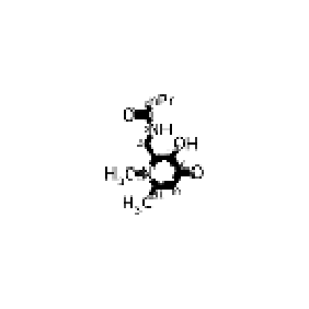 CCCC(=O)NCc1c(O)c(=O)cc(C)n1C